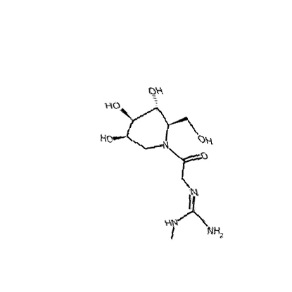 CNC(N)=NCC(=O)N1C[C@@H](O)[C@@H](O)[C@H](O)[C@H]1CO